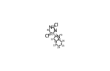 Cn1c(-c2nc(Cl)ncc2Cl)cc2ccccc21